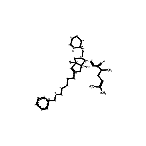 CC(C)=CCC(C)C(=O)C=C[C@@H]1[C@@H]2CC(CCCCCOCc3ccccc3)=C[C@@H]2C[C@H]1OC1CCCCO1